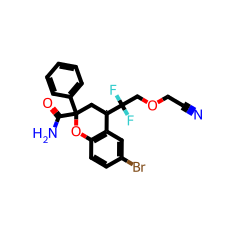 N#CCOCC(F)(F)[C]1CC(C(N)=O)(c2ccccc2)Oc2ccc(Br)cc21